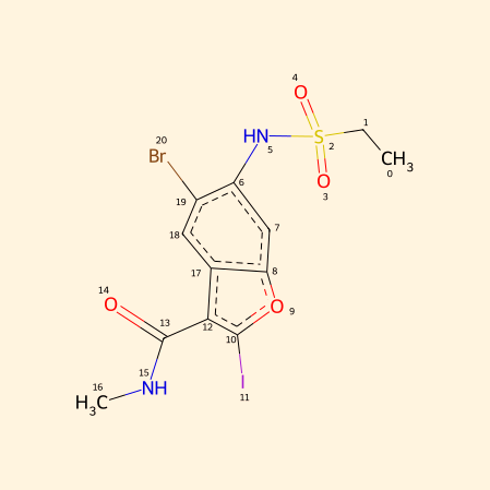 CCS(=O)(=O)Nc1cc2oc(I)c(C(=O)NC)c2cc1Br